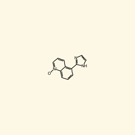 [O-][n+]1cccc2c(-c3ncc[nH]3)cccc21